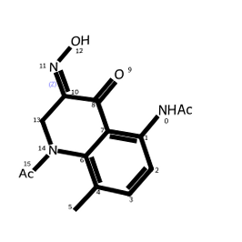 CC(=O)Nc1ccc(C)c2c1C(=O)/C(=N\O)CN2C(C)=O